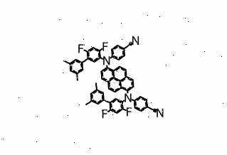 Cc1cc(C)cc(-c2cc(N(c3ccc(C#N)cc3)c3ccc4ccc5c(N(c6ccc(C#N)cc6)c6cc(-c7cc(C)cc(C)c7)c(F)cc6F)ccc6ccc3c4c65)c(F)cc2F)c1